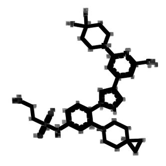 Cc1cc(-c2cnn(-c3ccc(NS(=O)(=O)CCO)cc3N3CCC4(CC3)CC4)c2)cc(N2CCC(F)(F)CC2)n1